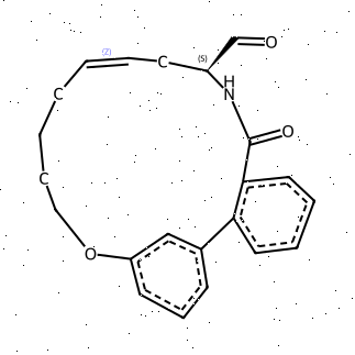 O=C[C@@H]1C/C=C\CCCCOc2cccc(c2)-c2ccccc2C(=O)N1